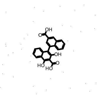 O=C(O)c1cc(-c2c(O)c(C(=O)O)c(O)c3ccccc23)c2ccccc2c1